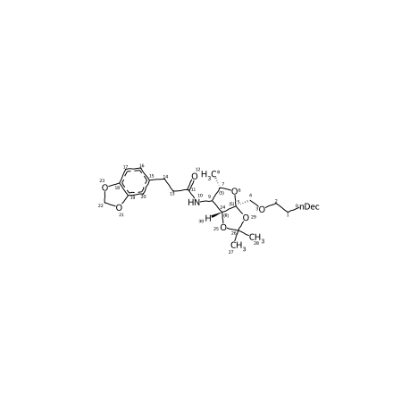 CCCCCCCCCCCCOC[C@@]12O[C@@H](C)C(NC(=O)CCc3ccc4c(c3)OCO4)[C@H]1OC(C)(C)O2